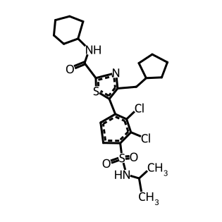 CC(C)NS(=O)(=O)c1ccc(-c2sc(C(=O)NC3CCCCC3)nc2CC2CCCC2)c(Cl)c1Cl